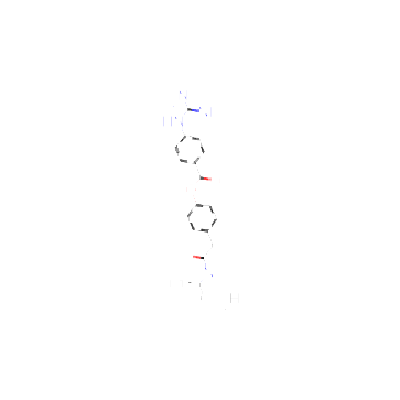 CC(C)[C@@H](NC(=O)Cc1ccc(OC(=O)c2ccc(NC(=N)N)cc2)cc1)C(=O)O